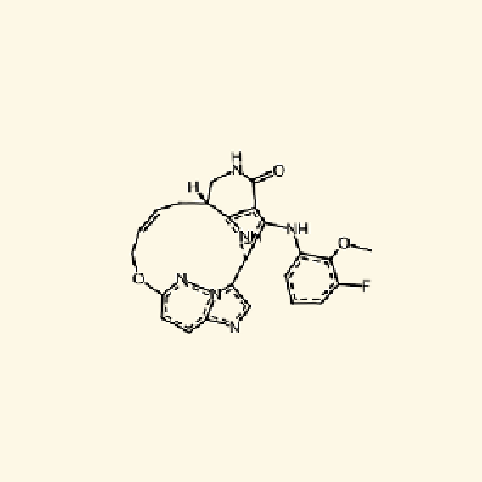 COc1c(F)cccc1Nc1c2[nH]c3c1C(=O)NC[C@H]3C/C=C\COc1ccc3ncc-2n3n1